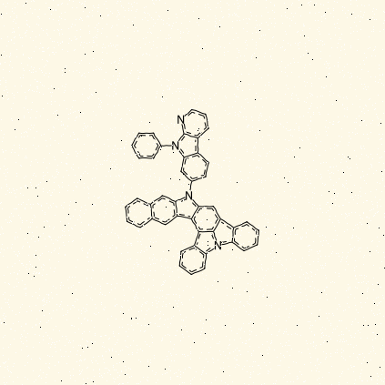 c1ccc(-n2c3cc(-n4c5cc6ccccc6cc5c5c6c7ccccc7n7c8ccccc8c(cc54)c67)ccc3c3cccnc32)cc1